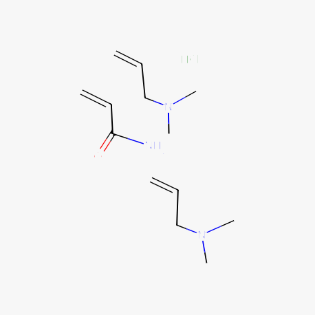 C=CC(N)=O.C=CCN(C)C.C=CCN(C)C.Cl